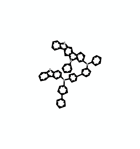 c1ccc(-c2ccc(N(c3ccc(-c4cccc(N(c5ccccc5)c5ccc6c7cc8sc9ccccc9c8cc7n(-c7ccccc7)c6c5)c4)cc3)c3ccc4sc5ccccc5c4c3)cc2)cc1